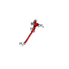 CCCCCCCCCCCCCCCCCCOC(=O)CCNSc1ccc(N/C(=C\C(=N)C(F)(F)F)c2ccc(C)cc2)cc1